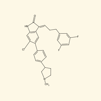 CN1CCC(c2ccc(-c3cc4c(cc3Cl)NC(=O)/C4=C/CCc3cc(F)cc(F)c3)cc2)C1